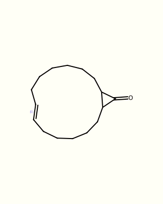 O=C1C2CCCCC/C=C/CCCCCCC12